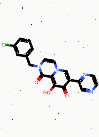 O=c1c(-c2cnccn2)cn2ccn(Cc3cccc(Cl)c3)c(=O)c2c1O